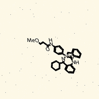 COCCC(=O)Nc1ccc([N+]2(Cc3ccccc3)N=C(C3CCCCC3)c3ccccc3NC2=O)cc1